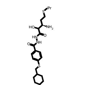 CC(C)SCC[C@@H](N)C(O)C(=O)NNC(=O)c1ccc(SCC2CCCCC2)cc1